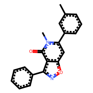 Cc1cccc(-c2cc3onc(-c4ccccc4)c3c(=O)n2C)c1